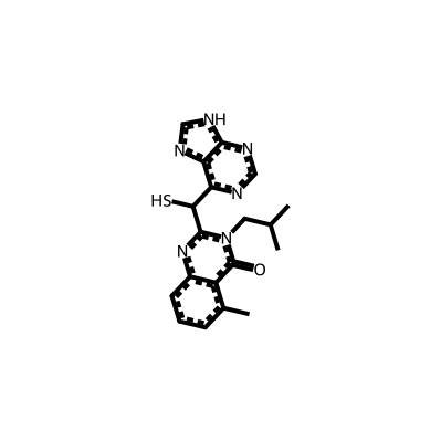 Cc1cccc2nc(C(S)c3ncnc4[nH]cnc34)n(CC(C)C)c(=O)c12